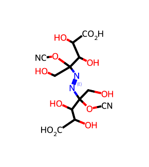 N#COC(CO)(/N=N/C(CO)(OC#N)C(O)C(O)C(=O)O)C(O)C(O)C(=O)O